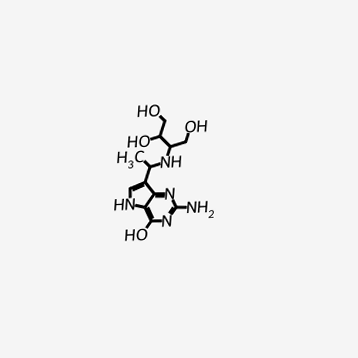 CC(NC(CO)C(O)CO)c1c[nH]c2c(O)nc(N)nc12